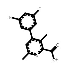 Cc1cc(-c2cc(F)cc(F)c2)c(C)c(C(=O)O)n1